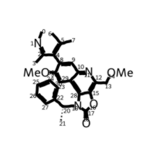 C/N=C(/C)C(=C(C)C)c1cc2nc(COC)c3oc(=O)n([C@H](C)c4ccccc4)c3c2cc1OC